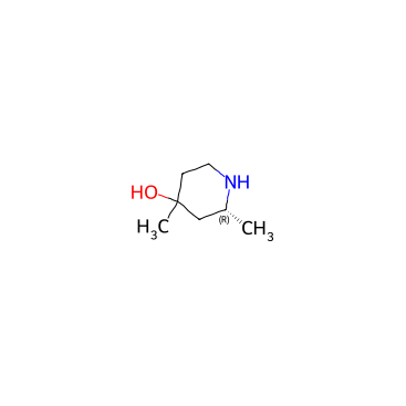 C[C@@H]1CC(C)(O)CCN1